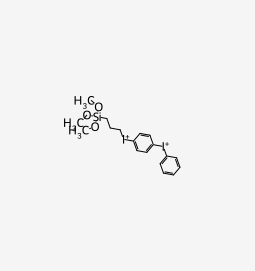 CO[Si](CCC[I+]c1ccc([I+]c2ccccc2)cc1)(OC)OC